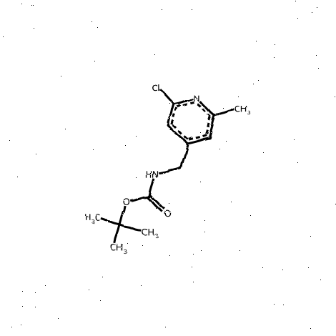 Cc1cc(CNC(=O)OC(C)(C)C)cc(Cl)n1